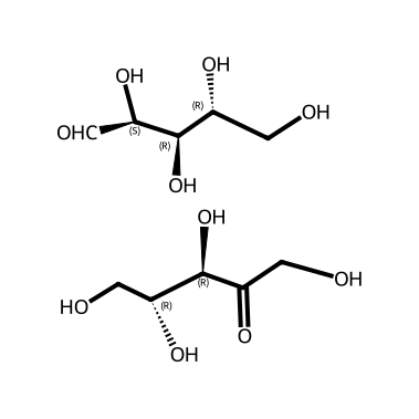 O=C(CO)[C@H](O)[C@H](O)CO.O=C[C@@H](O)[C@H](O)[C@H](O)CO